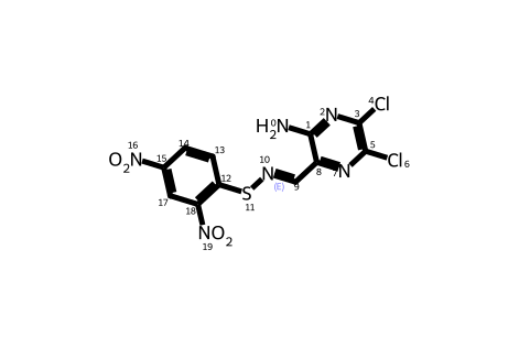 Nc1nc(Cl)c(Cl)nc1/C=N/Sc1ccc([N+](=O)[O-])cc1[N+](=O)[O-]